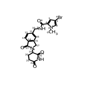 Cn1cc(Br)cc1C(=O)NCc1ccc2c(c1)CN(C1CCC(=O)NC1=O)C2=O